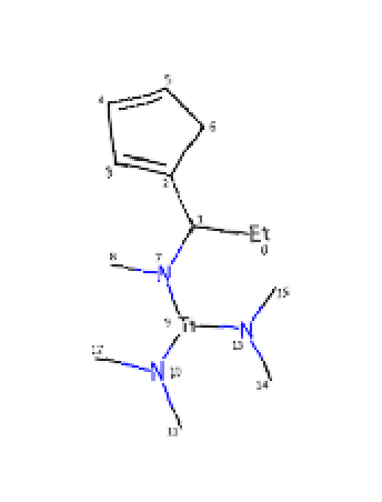 CCC(C1=CC=CC1)[N](C)[Ti]([N](C)C)[N](C)C